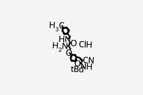 Cc1ccc(CNC(=O)C(N)COc2cccc(C=C(C#N)C(=O)NC(C)(C)C)c2)cc1.Cl